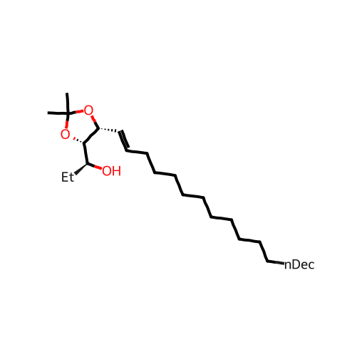 CCCCCCCCCCCCCCCCCCCCC=C[C@H]1OC(C)(C)O[C@H]1[C@@H](O)CC